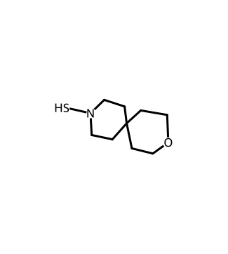 SN1CCC2(CCOCC2)CC1